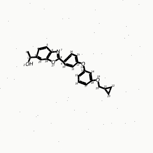 CC(O)c1ccc2nc(-c3ccc(Oc4cccc(OCC5CC5)c4)cc3)oc2c1